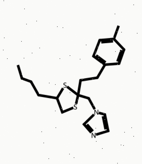 CCCCC1CSC(CCc2ccc(C)cc2)(Cn2ccnc2)S1